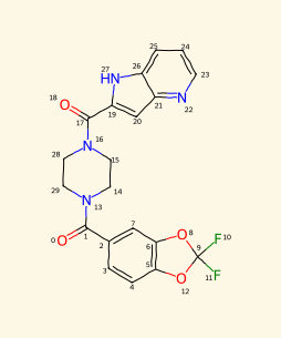 O=C(c1ccc2c(c1)OC(F)(F)O2)N1CCN(C(=O)c2cc3ncccc3[nH]2)CC1